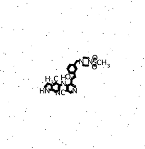 Cc1c(Nc2c(C#N)cncc2-c2cc3cc(CN4CCN(S(C)(=O)=O)CC4)ccc3o2)ccc2[nH]ccc12